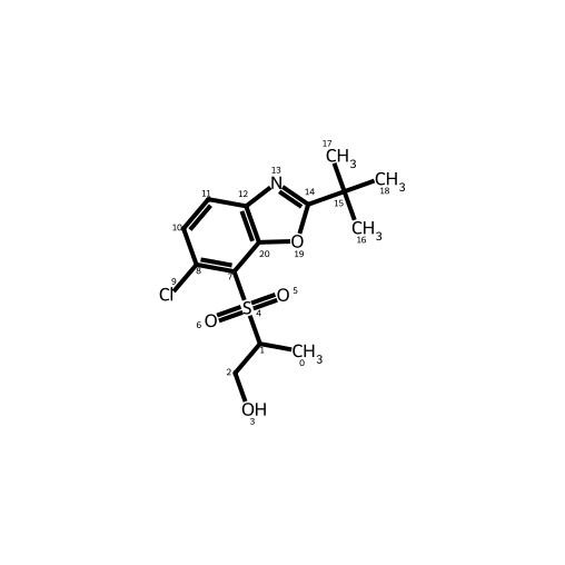 CC(CO)S(=O)(=O)c1c(Cl)ccc2nc(C(C)(C)C)oc12